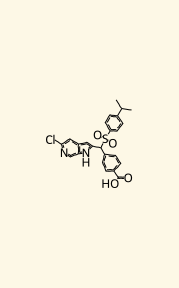 CC(C)c1ccc(S(=O)(=O)C(c2ccc(C(=O)O)cc2)c2cc3cc(Cl)ncc3[nH]2)cc1